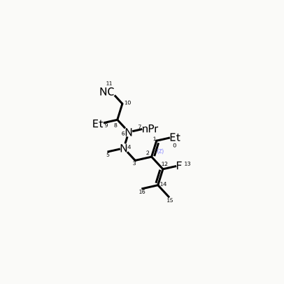 CC/C=C(/CN(C)N(CCC)C(CC)CC#N)C(F)=C(C)C